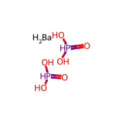 O=[PH](O)O.O=[PH](O)O.[BaH2]